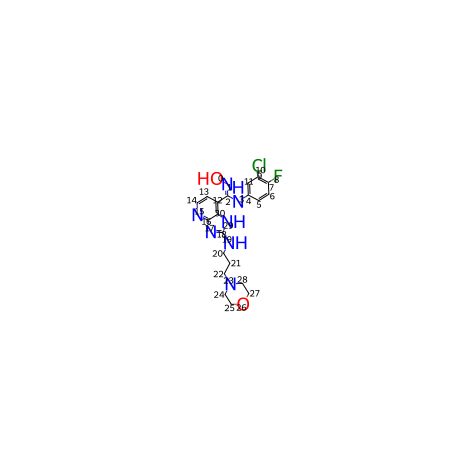 O/N=C(/Nc1ccc(F)c(Cl)c1)c1ccnc2nc(NCCCN3CCOCC3)[nH]c12